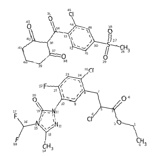 CCOC(=O)C(Cl)Cc1cc(-n2nc(C)n(C(F)F)c2=O)c(F)cc1Cl.CS(=O)(=O)c1ccc(C(=O)C2C(=O)CCCC2=O)c(Cl)c1